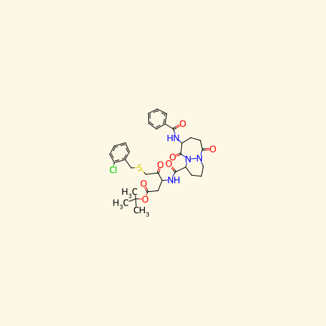 CC(C)(C)OC(=O)CC(NC(=O)C1CCCN2C(=O)CCC(NC(=O)c3ccccc3)C(=O)N12)C(=O)CSCc1ccccc1Cl